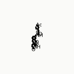 CC(=O)N1CCC(COC(=O)NCc2ccc3c(c2)C(=O)N(C2CCC(=O)NC2=O)C3)C1